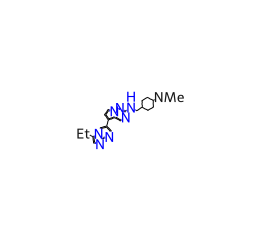 CCc1cnc2ncc(-c3ccn4nc(NCC5CCC(NC)CC5)ncc34)cn12